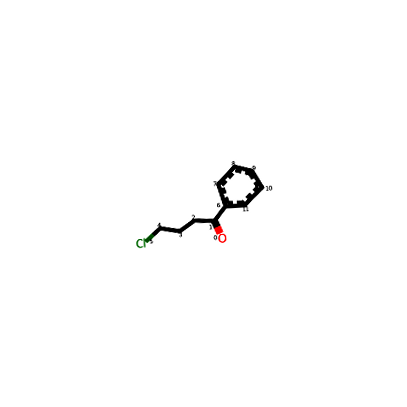 O=C(CCCCl)c1[c]cccc1